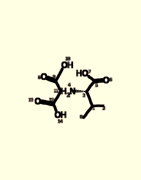 CC(C)[C@H](N)C(=O)O.O=C(O)CC(=O)O